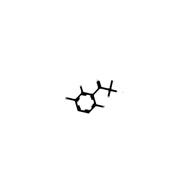 CC(O)(C(=O)c1c(N)ccc(Cl)c1Cl)C(F)(F)F